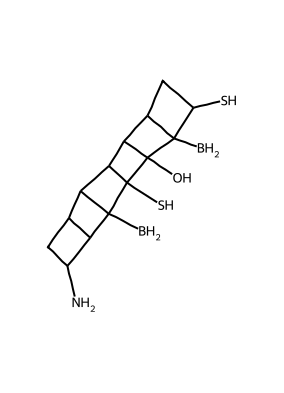 BC12C(S)CC1C1C3C4C5CC(N)C5C4(B)C3(S)C12O